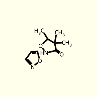 CC1ONC(=O)C1(C)C.c1cnoc1